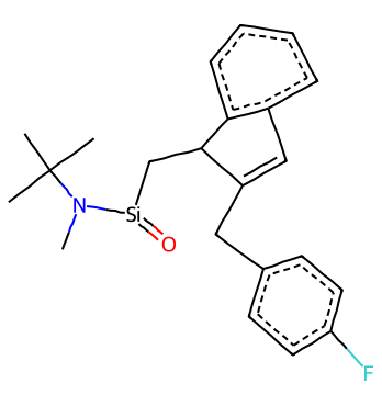 CN([Si](=O)CC1C(Cc2ccc(F)cc2)=Cc2ccccc21)C(C)(C)C